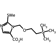 CSc1ncc(C(=O)O)n1COCC[Si](C)(C)C